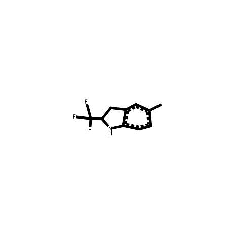 Cc1ccc2c(c1)CC(C(F)(F)F)N2